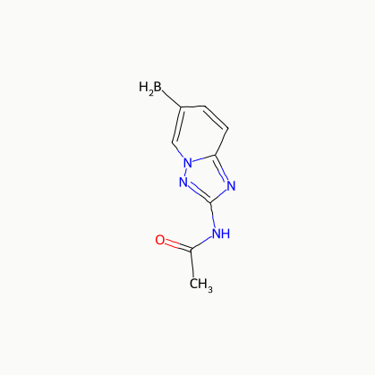 Bc1ccc2nc(NC(C)=O)nn2c1